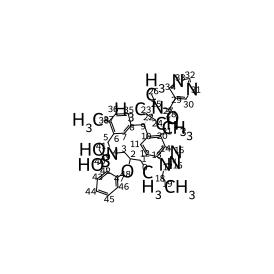 CCC1CN(Cc2cc([C@@H](c3ccc4c(nnn4CC)c3C)C(C)(C)N(C)C(=O)c3cncnc3)ccc2C)S(O)(O)c2ccccc2O1